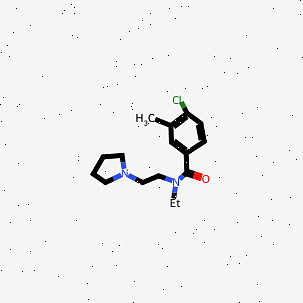 CCN(CCN1CCCC1)C(=O)c1ccc(Cl)c(C)c1